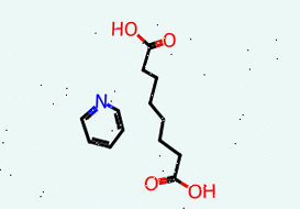 O=C(O)CCCCCCC(=O)O.c1ccncc1